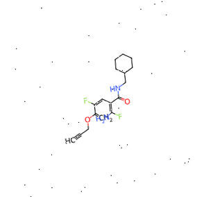 C#CCOC(=C)/C(F)=C\C(C(=O)NCC1CCCCC1)=C(/N)F